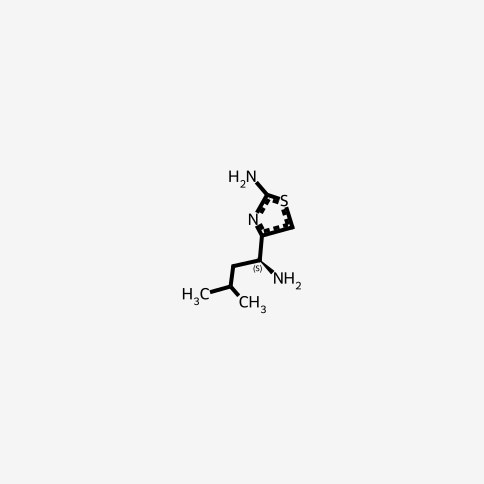 CC(C)C[C@H](N)c1csc(N)n1